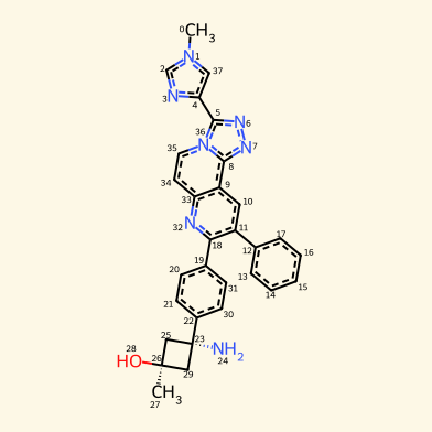 Cn1cnc(-c2nnc3c4cc(-c5ccccc5)c(-c5ccc([C@]6(N)C[C@](C)(O)C6)cc5)nc4ccn23)c1